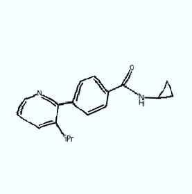 CC(C)c1cccnc1-c1ccc(C(=O)NC2CC2)cc1